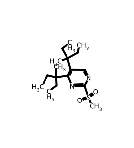 CCC(C)(CC)c1cnc(S(C)(=O)=O)nc1C(C)(CC)CC